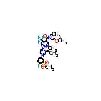 CCN(CCOC)C(=O)c1cnc(N2CCN(c3ccc(F)c(S(C)(=O)=O)c3)CC2C(C)C)nc1C(F)(F)F